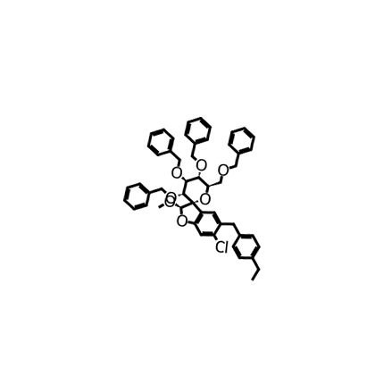 CCc1ccc(Cc2cc3c(cc2Cl)O[C@@H](OC)[C@]32O[C@H](COCc3ccccc3)[C@@H](OCc3ccccc3)[C@H](OCc3ccccc3)[C@H]2OCc2ccccc2)cc1